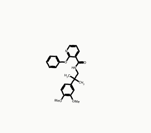 COc1ccc(C(C)(C)CNC(=O)c2cccnc2Oc2ccccc2)cc1OC